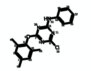 Cc1cc(C)c(Oc2nc(Cl)nc(Nc3ccccc3)n2)c(C)c1